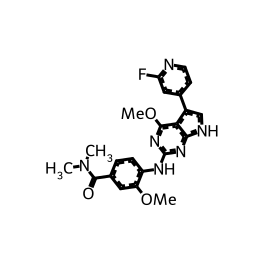 COc1cc(C(=O)N(C)C)ccc1Nc1nc(OC)c2c(-c3ccnc(F)c3)c[nH]c2n1